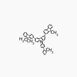 Cc1ccccc1-c1ccc(-n2c3ccc(-c4ccc5c(c4)C(C)c4ccccc4-5)cc3c3cc(-c4ccc5c(c4)C(C)(C)c4ccccc4-5)ccc32)cc1